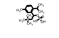 Cc1ccc(C(C)C)c(C(C[N+](C)(C)C)OP(O)(=S)S)c1